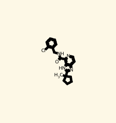 CC1(c2nc3ccnc(C(=O)NCc4ccccc4Cl)c3[nH]2)CCCC1